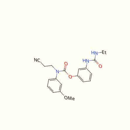 CCNC(=O)Nc1cccc(OC(=O)N(CCC#N)c2cccc(OC)c2)c1